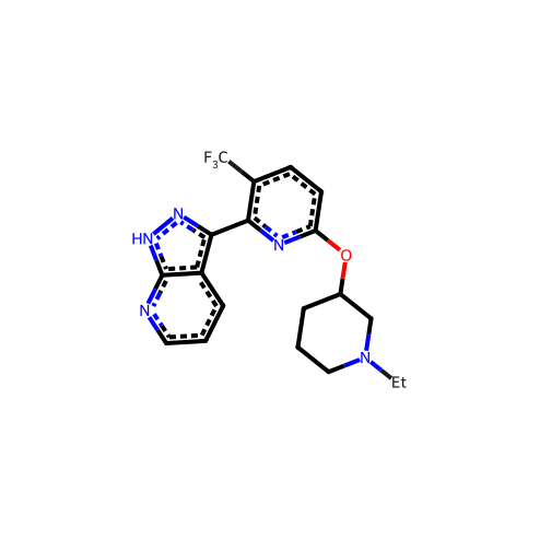 CCN1CCCC(Oc2ccc(C(F)(F)F)c(-c3n[nH]c4ncccc34)n2)C1